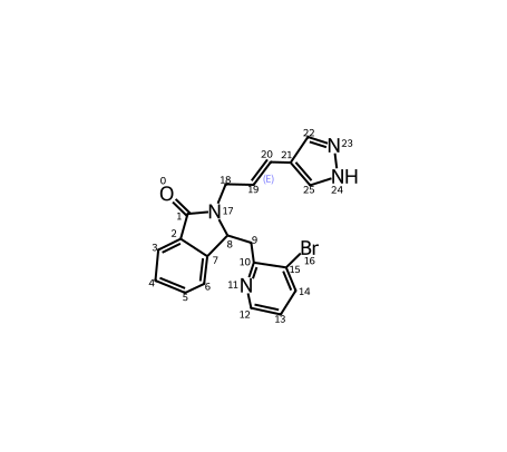 O=C1c2ccccc2C(Cc2ncccc2Br)N1C/C=C/c1cn[nH]c1